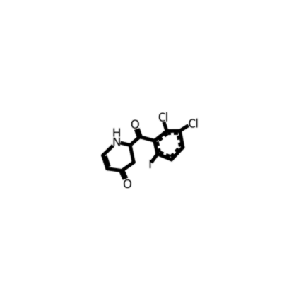 O=C1C=CNC(C(=O)c2c(I)ccc(Cl)c2Cl)C1